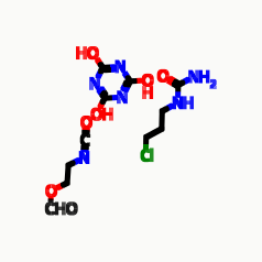 NC(=O)NCCCCl.O=C=NCCOC=O.Oc1nc(O)nc(O)n1